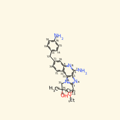 CCOCc1nc2c(N)nc3cc(Cc4ccc(N)cc4)ccc3c2n1CC(C)(C)O